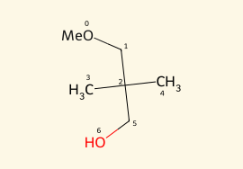 [CH2]OCC(C)(C)CO